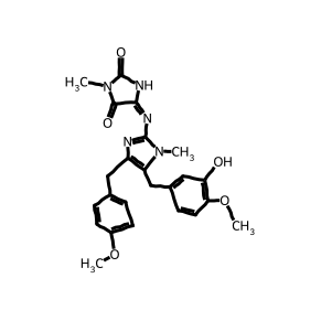 COc1ccc(Cc2nc(N=C3NC(=O)N(C)C3=O)n(C)c2Cc2ccc(OC)c(O)c2)cc1